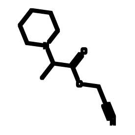 CC(C(=O)OCC#N)N1CCCCC1